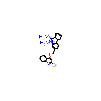 CCc1cc(OCc2ccc(-c3ccccc3/C(=N/N)NN)cc2)c2ccccc2n1